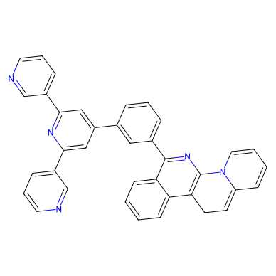 C1=CC2=CCc3c(nc(-c4cccc(-c5cc(-c6cccnc6)nc(-c6cccnc6)c5)c4)c4ccccc34)N2C=C1